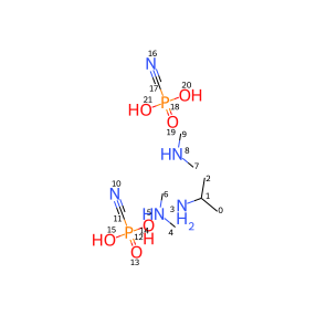 CC(C)N.CNC.CNC.N#CP(=O)(O)O.N#CP(=O)(O)O